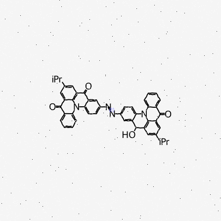 CC(C)c1cc2c3c(c1)c(=O)c1ccccc1n3-c1ccc(/N=N/c3ccc4c(c3)c(=O)c3cc(C(C)C)cc5c(=O)c6ccccc6n4c53)cc1C2O